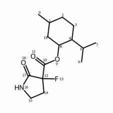 CC1CCC(C(C)C)C(OC(=O)C2(F)CCNC2=O)C1